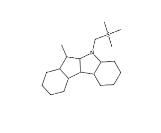 CC1C2CCCCC2C2C3CCCCC3N(CS(C)(C)C)C12